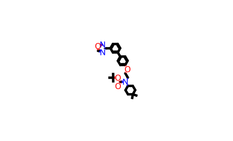 CC1(C)CCC(N(CCOc2ccc(-c3cccc(-c4ncon4)c3)cc2)C(=O)OC(C)(C)C)CC1